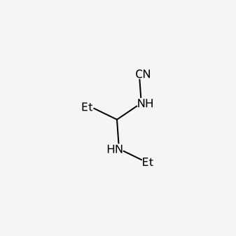 CCNC(CC)NC#N